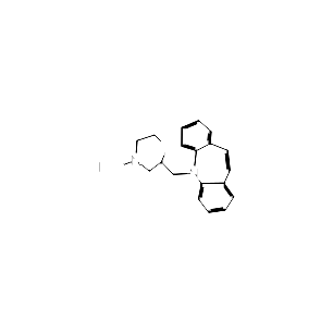 FC(F)(F)N1CCOC(CN2c3ccccc3C=Cc3ccccc32)C1